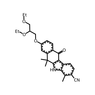 CCOCC(COc1ccc2c(c1)C(C)(C)c1[nH]c3c(C)c(C#N)ccc3c1C2=O)OCC